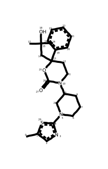 Cc1cnc(N2CCCC(N3CCC(CC(C)(C)O)(c4ccccc4)OC3=O)C2)s1